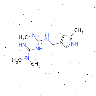 C/N=C(/NCc1c[nH]c(C)c1)NC(=N)N(C)C